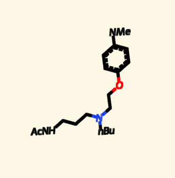 CCCCN(CCCNC(C)=O)CCOc1ccc(NC)cc1